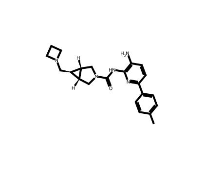 Cc1ccc(-c2ccc(N)c(NC(=O)N3C[C@@H]4[C@@H](CN5CCC5)[C@@H]4C3)n2)cc1